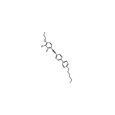 CCCCCCc1ccc(-c2ccc(C#Cc3ccc(OCCC)c(F)c3F)cc2)cc1